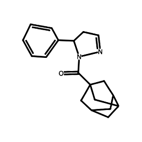 O=C(N1N=CCC1c1ccccc1)C12CC3CC(C1)C(C3)C2